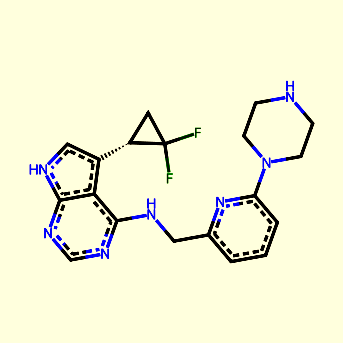 FC1(F)C[C@H]1c1c[nH]c2ncnc(NCc3cccc(N4CCNCC4)n3)c12